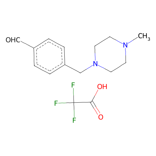 CN1CCN(Cc2ccc(C=O)cc2)CC1.O=C(O)C(F)(F)F